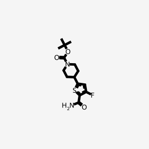 CC(C)(C)OC(=O)N1CCC(c2cc(F)c(C(N)=O)s2)CC1